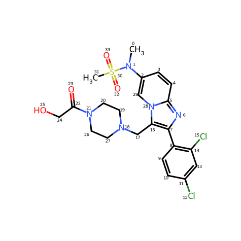 CN(c1ccc2nc(-c3ccc(Cl)cc3Cl)c(CN3CCN(C(=O)CO)CC3)n2c1)S(C)(=O)=O